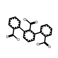 O=C(Cl)c1ccccc1-c1cccc(-c2ccccc2C(=O)Cl)c1C(=O)Cl